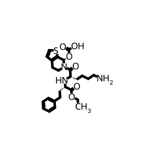 CCOC(=O)[C@H](CCc1ccccc1)N[C@@H](CCCCN)C(=O)N1CCc2ccsc2[C@@H]1OC(=O)O